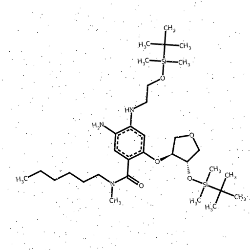 CCCCCCN(C)C(=O)c1cc(N)c(NCCO[Si](C)(C)C(C)(C)C)cc1O[C@H]1COC[C@@H]1O[Si](C)(C)C(C)(C)C